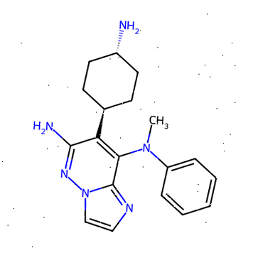 CN(c1ccccc1)c1c2nccn2nc(N)c1[C@H]1CC[C@H](N)CC1